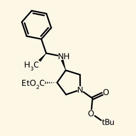 CCOC(=O)[C@H]1CN(C(=O)OC(C)(C)C)C[C@@H]1N[C@@H](C)c1ccccc1